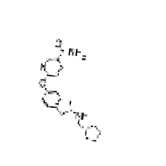 NC(=O)c1ccc(Oc2ccc3c(c2)CC(NCC2CCCC2)C3)nc1